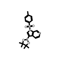 Cc1ccc(S(=O)(=O)n2cc(B3OC(C)(C)C(C)(C)O3)c3ccncc32)cc1